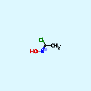 [CH2]/C(Cl)=N/O